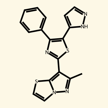 Cc1nn2ccsc2c1-c1nc(-c2ccccc2)c(-c2ccn[nH]2)s1